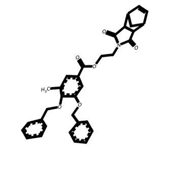 Cc1cc(C(=O)OCCN2C(=O)C3C4C=CC(C4)C3C2=O)cc(OCc2ccccc2)c1OCc1ccccc1